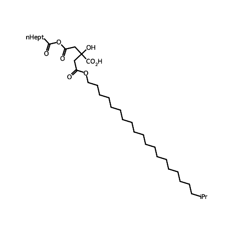 CCCCCCCC(=O)OC(=O)CC(O)(CC(=O)OCCCCCCCCCCCCCCCCCCCC(C)C)C(=O)O